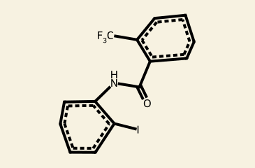 O=C(Nc1ccccc1I)c1ccccc1C(F)(F)F